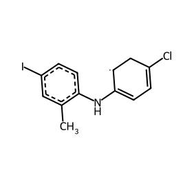 Cc1cc(I)ccc1NC1=CC=C(Cl)C[CH]1